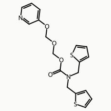 O=C(OCOCOc1cccnc1)N(Cc1cccs1)Cc1cccs1